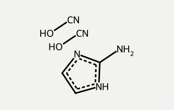 N#CO.N#CO.Nc1ncc[nH]1